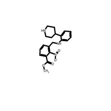 COC(=O)c1cccc(CNc2ccccc2C2CCNCC2)c1[N+](=O)[O-]